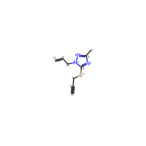 C#CCSc1nc(C)nn1CC=C